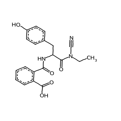 CCN(C#N)C(=O)C(Cc1ccc(O)cc1)NC(=O)c1ccccc1C(=O)O